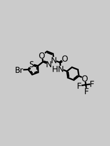 O=C(NC1=CC=C(OC(F)(F)F)CC1)N1C=COC(c2ccc(Br)s2)=N1